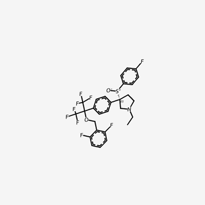 CCN1CC[C@@](c2ccc(C(OCc3c(F)cccc3F)(C(F)(F)F)C(F)(F)F)cc2)([S+]([O-])c2ccc(F)cc2)C1